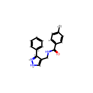 CCc1ccc(C(=O)NCc2c[nH]nc2-c2ccccc2)cc1